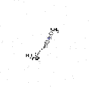 Cc1ccc(/N=N/c2ccc(OCCCCCCOC(=O)C(C)C)cc2)cc1